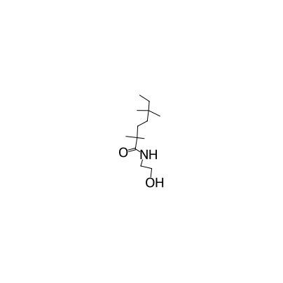 CCC(C)(C)CCC(C)(C)C(=O)NCCO